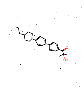 CCCC1CCC(c2ccc(-c3ccc(C(=O)C(C)(C)O)cc3)cc2)CC1